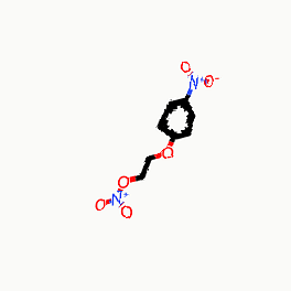 O=[N+]([O-])OCCOc1ccc([N+](=O)[O-])cc1